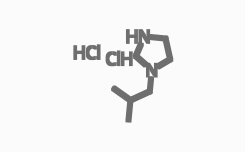 CC(C)CN1CCNC1.Cl.Cl